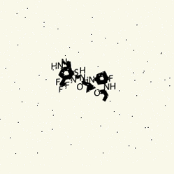 CCC(=O)Nc1cc(NC2(C(=O)Nc3nc4c(C(F)(F)F)cc5[nH]ncc5c4s3)CC2)ccc1F